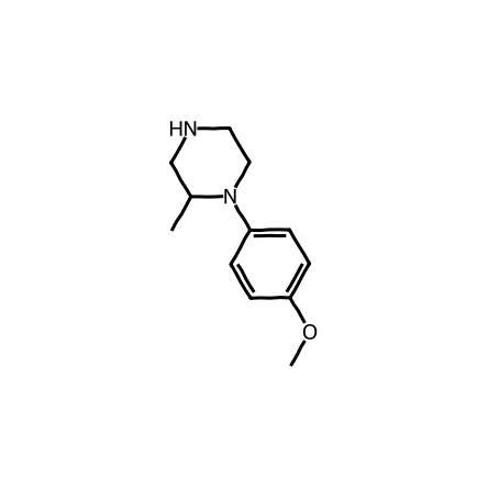 COc1ccc(N2CCNCC2C)cc1